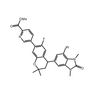 COC(=O)c1ccc(-c2cc3c(cc2F)C(c2cc(C(C)C)c4c(c2)n(C)c(=O)n4C)CC(C)(C)O3)cn1